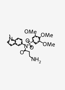 COc1cc(S(=O)(=O)N(C(=O)CCN)c2ccc3c(ccn3C)c2)cc(OC)c1OC